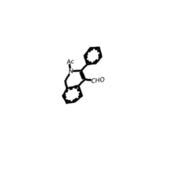 CC(=O)N1Cc2ccccc2C(C=O)=C1c1ccccc1